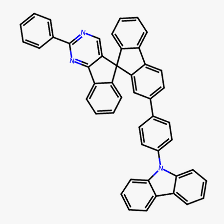 c1ccc(-c2ncc3c(n2)-c2ccccc2C32c3ccccc3-c3ccc(-c4ccc(-n5c6ccccc6c6ccccc65)cc4)cc32)cc1